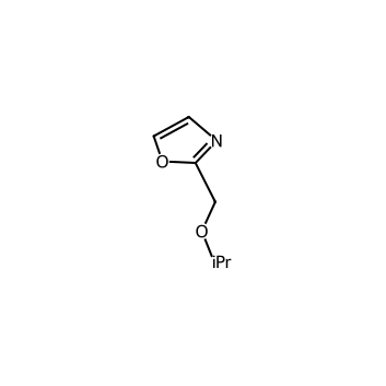 CC(C)OCc1ncco1